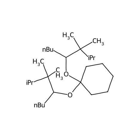 CCCCC(OC1(OC(CCCC)C(C)(C)C(C)C)CCCCC1)C(C)(C)C(C)C